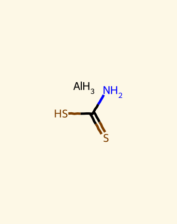 NC(=S)S.[AlH3]